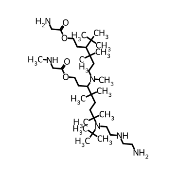 CNCC(=O)OCCC(N(C)CCC(C)(C)C(CCOC(=O)CN)C(C)(C)C)C(C)(C)CCC(C)(C)N(CCNCCN)C(C)(C)C